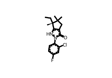 CC[C@@]1(C)c2[nH]n(-c3ccc(F)cc3Cl)c(=O)c2CC1(C)C